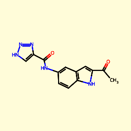 CC(=O)c1cc2cc(NC(=O)c3c[nH]nn3)ccc2[nH]1